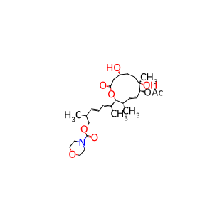 CC(=O)O[C@H]1/C=C/[C@H](C)[C@@H](/C(C)=C/C=C/C(C)COC(=O)N2CCOCC2)OC(=O)C[C@@H](O)CC[C@]1(C)O